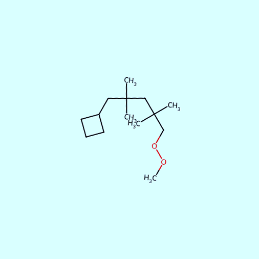 COOCC(C)(C)CC(C)(C)CC1CCC1